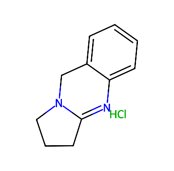 Cl.c1ccc2c(c1)CN1CCCC1=N2